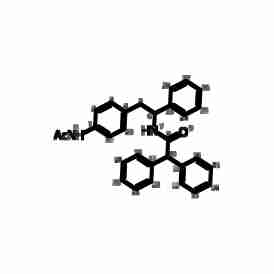 CC(=O)Nc1ccc(CC(NC(=O)C(c2ccccc2)c2ccccc2)c2ccccc2)cc1